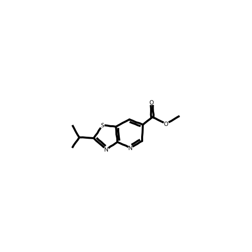 COC(=O)c1cnc2nc(C(C)C)sc2c1